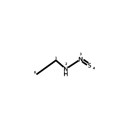 CCNN=S